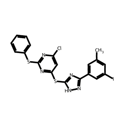 Cc1cc(I)cc(-c2n[nH]c(Sc3cc(Cl)nc(Sc4ccccc4)n3)n2)c1